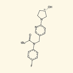 CC(C)(C)C(=O)N(Cc1ccc(N2CC[C@H](O)C2)nc1)c1ccc(F)cc1